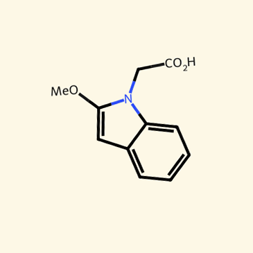 COc1cc2ccccc2n1CC(=O)O